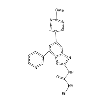 CCNC(=O)Nc1nc2cc(-c3cnc(OC)nc3)cc(-c3cccnc3)c2s1